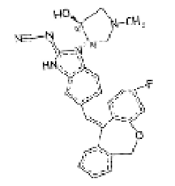 CN1C[C@H](O)[C@@H](n2c(=NC#N)[nH]c3cc(C=C4c5ccccc5COc5cc(F)ccc54)ccc32)C1